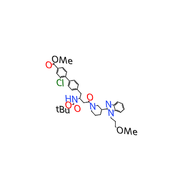 COCCCn1c(C2CCCN(C(=O)CC(Cc3ccc(-c4ccc(C(=O)OC)cc4Cl)cc3)NC(=O)OC(C)(C)C)C2)nc2ccccc21